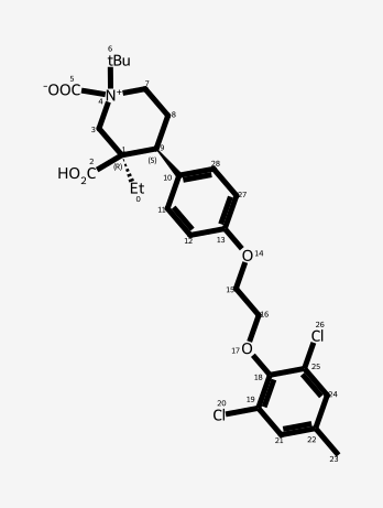 CC[C@]1(C(=O)O)C[N+](C(=O)[O-])(C(C)(C)C)CC[C@H]1c1ccc(OCCOc2c(Cl)cc(C)cc2Cl)cc1